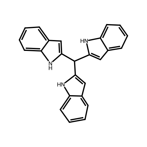 c1ccc2[nH]c(C(c3cc4ccccc4[nH]3)c3cc4ccccc4[nH]3)cc2c1